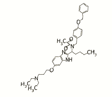 CCCCC(c1nc2ccc(OCCCN(CC)CC)cc2[nH]1)N(Cc1ccc(OCc2ccccc2)cc1)S(C)(=O)=O